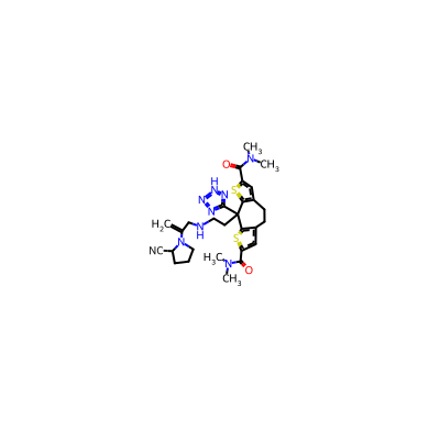 C=C(CNCCC1(c2nn[nH]n2)c2sc(C(=O)N(C)C)cc2CCc2cc(C(=O)N(C)C)sc21)N1CCCC1C#N